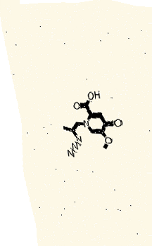 COc1cn(CC(C)N=[N+]=[N-])c(C(=O)O)cc1=O